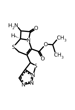 CC(C)OC(=O)C1=C(C2Sn3nncc32)CS[C@H]2C(N)C(=O)N12